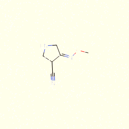 CO/N=C1\CNCC1C#N